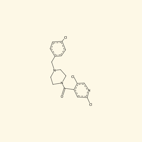 O=C(c1cc(Cl)ncc1Cl)N1CCN(Cc2ccc(Cl)cc2)CC1